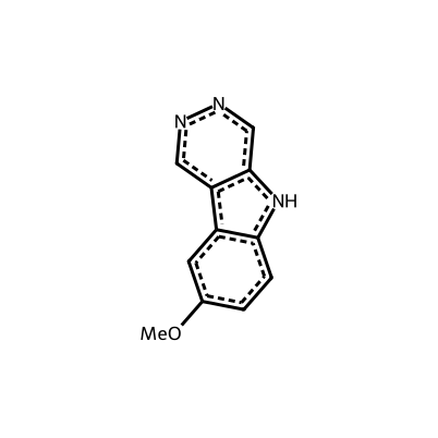 COc1ccc2[nH]c3cnncc3c2c1